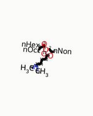 CCCCCCCCCC(COC(=O)C(CCCCCC)CCCCCCCC)OC(=O)CCCCN(C)C